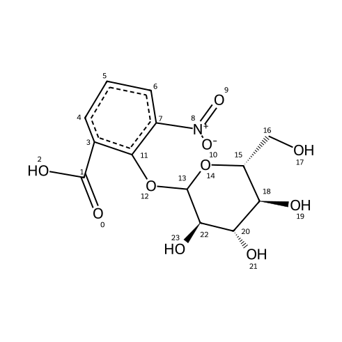 O=C(O)c1cccc([N+](=O)[O-])c1OC1O[C@H](CO)[C@@H](O)[C@H](O)[C@H]1O